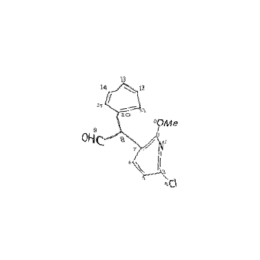 COc1nc(Cl)ccc1C(C=O)c1ccccc1